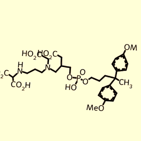 COc1ccc(C(C)(CCCOP(=O)(O)OCC([CH]C(=O)O)CN(CCCNC(C(=O)O)C(=O)O)CC(=O)O)c2ccc(OC)cc2)cc1